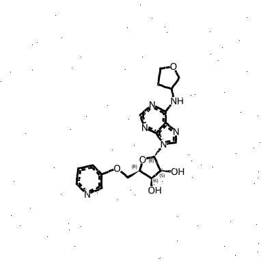 O[C@@H]1[C@H](O)[C@H](n2cnc3c(NC4CCOC4)ncnc32)O[C@@H]1COc1cccnc1